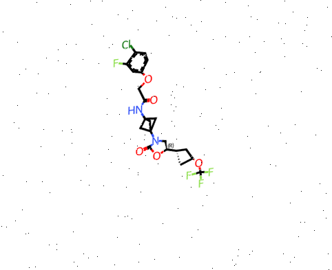 O=C(COc1ccc(Cl)c(F)c1)NC12CC(N3C[C@@H]([C@H]4C[C@@H](OC(F)(F)F)C4)OC3=O)(C1)C2